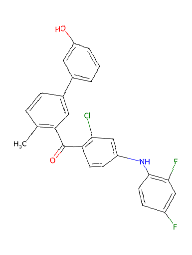 Cc1ccc(-c2cccc(O)c2)cc1C(=O)c1ccc(Nc2ccc(F)cc2F)cc1Cl